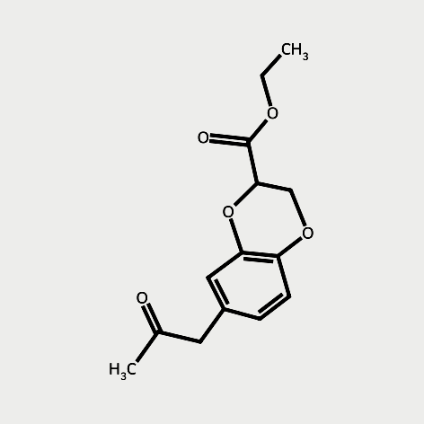 CCOC(=O)C1COc2ccc(CC(C)=O)cc2O1